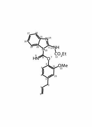 C=CCc1ccc(OC(=N)n2c(NC(=O)OCC)nc3ccccc32)c(OC)c1